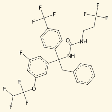 O=C(NCCC(F)(F)F)NC(Cc1ccccc1)(c1ccc(C(F)(F)F)cc1)c1cc(F)cc(OC(F)(F)C(F)F)c1